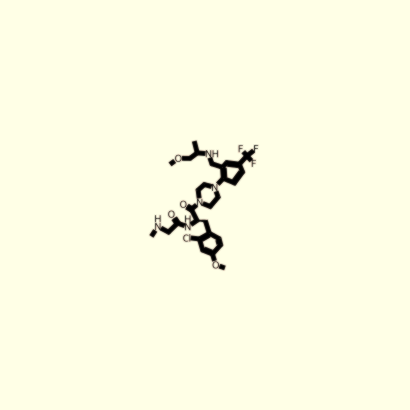 CNCC(=O)N[C@H](Cc1ccc(OC)cc1Cl)C(=O)N1CCN(c2ccc(C(F)(F)F)cc2CNC(C)COC)CC1